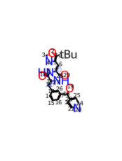 CC(C)(C)c1ocnc1/C=c1\[nH]c(=O)/c(=C/c2cccc(C(=O)c3ccncc3)c2)[nH]c1=O